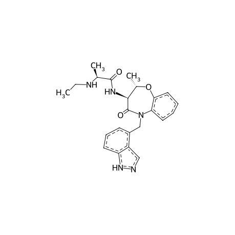 CCN[C@@H](C)C(=O)N[C@@H]1C(=O)N(Cc2cccc3[nH]ncc23)c2ccccc2O[C@H]1C